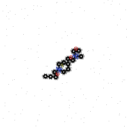 c1ccc(-c2ccc(-c3cccc4oc5c(-c6nc(-c7cccc(-c8cccc(-c9ccc(-c%10cccc%11oc%12c(-c%13nc(-c%14ccccc%14)nc(-c%14cccc%15oc%16ccccc%16c%14%15)n%13)cccc%12c%10%11)cc9)c8)c7)nc(-c7cccc8c7sc7ccccc78)n6)cccc5c34)cc2)cc1